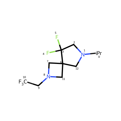 CC(C)N1CC(F)(F)C2(CN(CC(F)(F)F)C2)C1